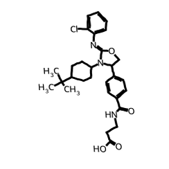 CC(C)(C)C1CCC(N2/C(=N/c3ccccc3Cl)OCC2c2ccc(C(=O)NCCC(=O)O)cc2)CC1